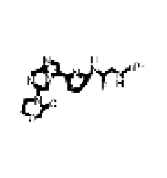 CCCNCC(F)Nc1cccc(-c2cnc3cnc(N4CCOCC4=O)cn23)n1